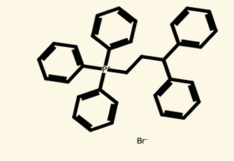 [Br-].c1ccc(C(CC[P+](c2ccccc2)(c2ccccc2)c2ccccc2)c2ccccc2)cc1